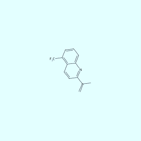 C=C(C)c1ccc2c(C(F)(F)F)cccc2n1